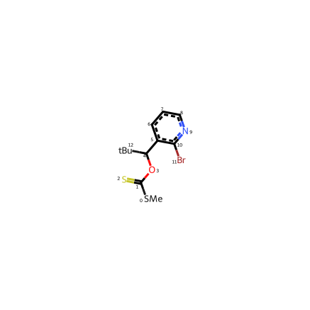 CSC(=S)OC(c1cccnc1Br)C(C)(C)C